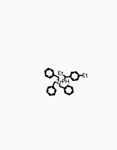 CCc1ccc(C(CC)[PH][Zr]([CH2]c2ccccc2)([CH2]c2ccccc2)[CH2]c2ccccc2)cc1